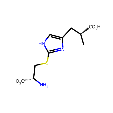 C[C@@H](Cc1c[nH]c(SC[C@H](N)C(=O)O)n1)C(=O)O